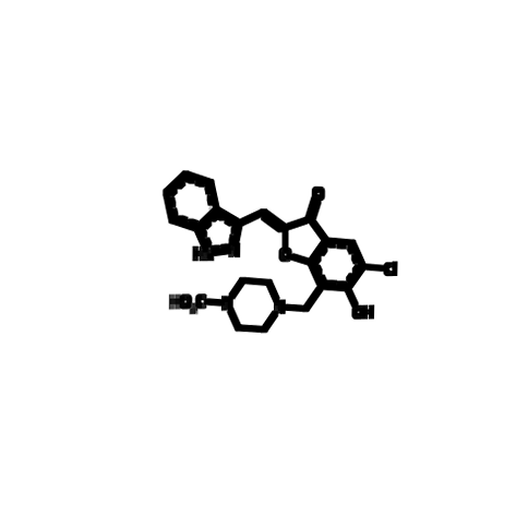 O=C1C(=Cc2n[nH]c3ccccc23)Oc2c1cc(Cl)c(O)c2CN1CCN(C(=O)O)CC1